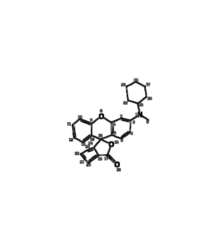 CN(c1ccc2c(c1)Oc1ccccc1C21OC(=O)c2ccccc21)C1CCCCC1